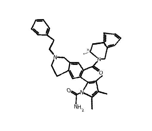 Cc1c(C)c(-c2cc3c(cc2C(=O)N2Cc4ccccc4C[C@H]2C)CN(CCc2ccccc2)CC3)n(C(N)=O)c1C